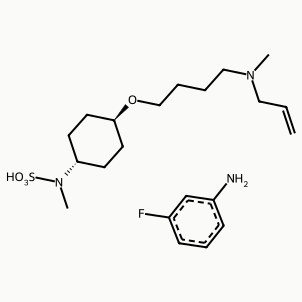 C=CCN(C)CCCCO[C@H]1CC[C@H](N(C)S(=O)(=O)O)CC1.Nc1cccc(F)c1